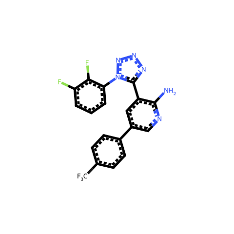 Nc1ncc(-c2ccc(C(F)(F)F)cc2)cc1-c1nnnn1-c1cccc(F)c1F